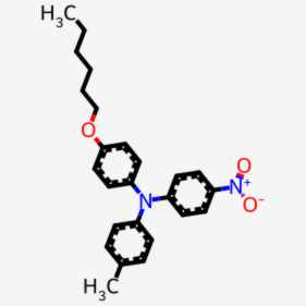 CCCCCCOc1ccc(N(c2ccc(C)cc2)c2ccc([N+](=O)[O-])cc2)cc1